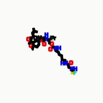 COC1C(OC(=O)N[C@@H](COC(=O)NCCCCCCNC(=O)CNSF)C(C)C)CCC2(CO2)C1C1(C)O[C@@H]1CC=C(C)C